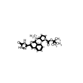 CN(c1nc(-c2n[nH]c(=O)[nH]2)cc2ccccc12)C1CCN(C(=O)OC(C)(C)C)C1